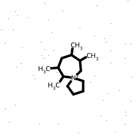 CC1CC(C)C(C)[N+]2(CCCC2)CC1C